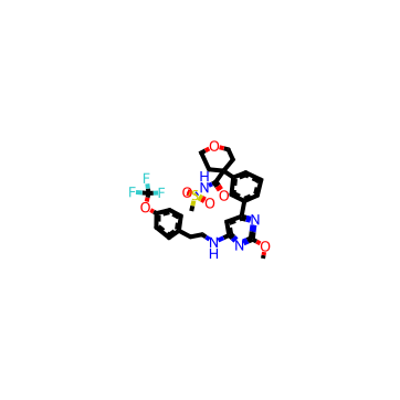 COc1nc(NCCc2ccc(OC(F)(F)F)cc2)cc(-c2cccc(C3(C(=O)NS(C)(=O)=O)CCOCC3)c2)n1